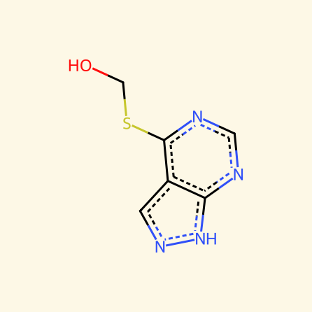 OCSc1ncnc2[nH]ncc12